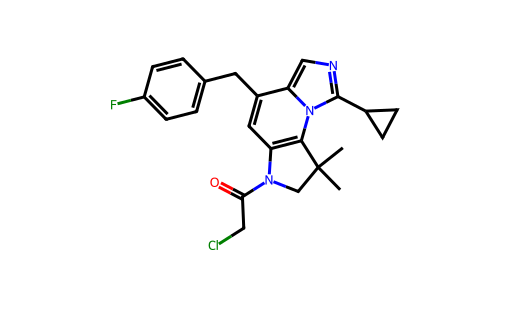 CC1(C)CN(C(=O)CCl)c2cc(Cc3ccc(F)cc3)c3cnc(C4CC4)n3c21